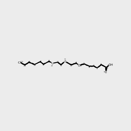 O=C(O)CCCCCOCCOCCOCCCCCCCl